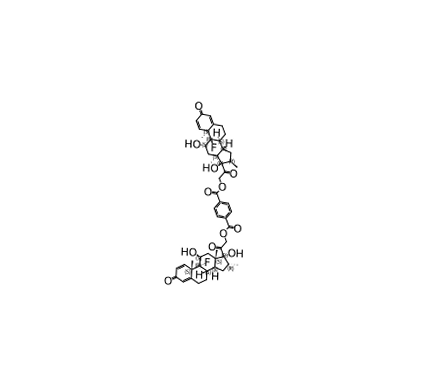 C[C@@H]1C[C@H]2[C@@H]3CCC4=CC(=O)C=C[C@]4(C)[C@@]3(F)[C@@H](O)C[C@]2(C)[C@@]1(O)C(=O)COC(=O)c1ccc(C(=O)OCC(=O)[C@@]2(O)[C@H](C)C[C@H]3[C@@H]4CCC5=CC(=O)C=C[C@]5(C)[C@@]4(F)[C@@H](O)C[C@@]32C)cc1